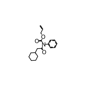 C=CCOC(=O)N(C(=O)C[C]1CCCCC1)c1ccccc1